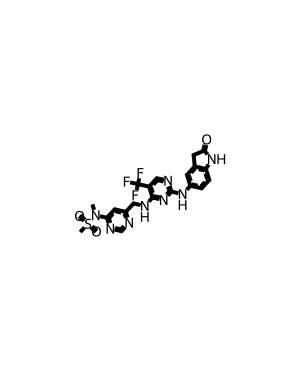 CN(c1cc(CNc2nc(Nc3ccc4c(c3)CC(=O)N4)ncc2C(F)(F)F)ncn1)S(C)(=O)=O